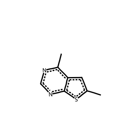 Cc1cc2c(C)ncnc2s1